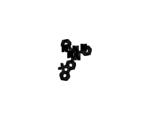 CC1(C)c2ccccc2-c2ccc(-c3nc(-c4ccccn4)nc(-c4ccccn4)n3)cc21